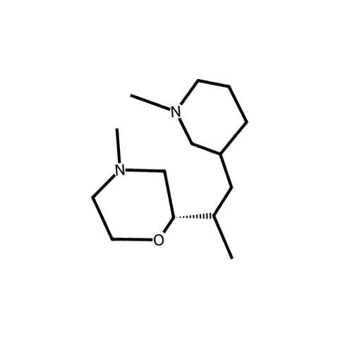 CC(CC1CCCN(C)C1)[C@H]1CN(C)CCO1